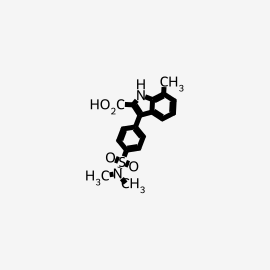 Cc1cccc2c(-c3ccc(S(=O)(=O)N(C)C)cc3)c(C(=O)O)[nH]c12